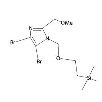 COCc1nc(Br)c(Br)n1COCC[Si](C)(C)C